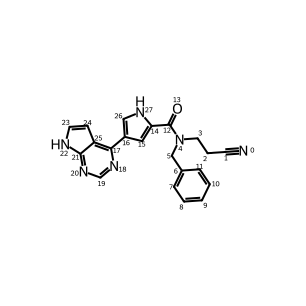 N#CCCN(Cc1ccccc1)C(=O)c1cc(-c2ncnc3[nH]ccc23)c[nH]1